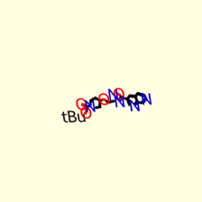 CC(C)(C)OC(=O)N1CCC(OCc2noc(-c3cnc4cnccc4c3)n2)CC1